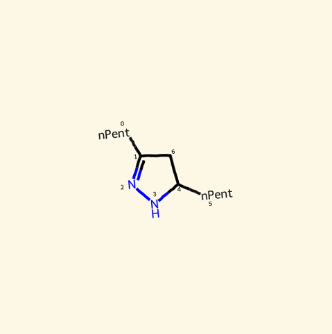 CCCCCC1=NNC(CCCCC)C1